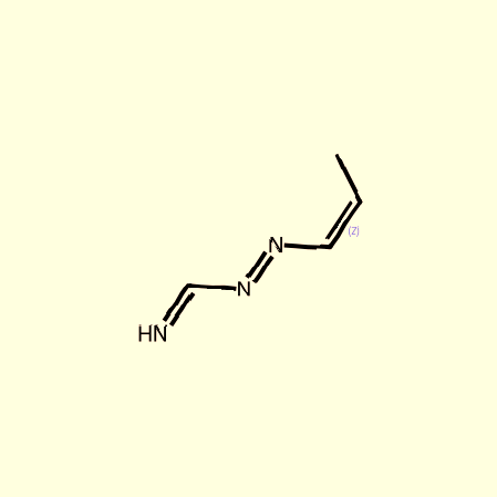 C/C=C\N=NC=N